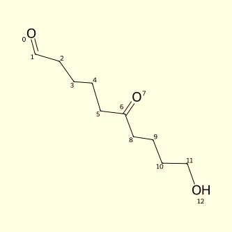 O=CCCCCC(=O)CCCCO